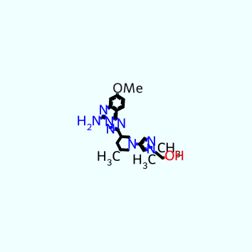 COc1ccc2c(c1)nc(N)n1nc(C3CC(C)CN(c4cnn(C(C)(C)CO)c4)C3)nc21